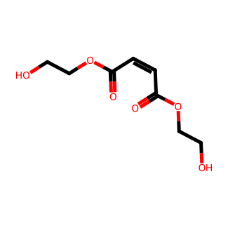 O=C(/C=C\C(=O)OCCO)OCCO